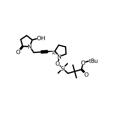 CC(C)(C)OC(=O)C(C)(C)C[Si](C)(C)ON1CCC[C@@H]1C#CCN1C(=O)CCC1O